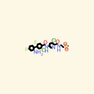 CS(=O)(=O)CCNC(=O)c1ncc(NC(=O)c2cc(F)c(-c3ccc(F)cc3N)cc2Cl)cc1Cl